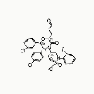 CC[C@@H](CN(c1ccccc1F)S(=O)(=O)C1CC1)N1C(=O)[C@@H](CCC=O)O[C@H](c2cccc(Cl)c2)[C@H]1c1ccc(Cl)cc1